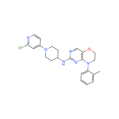 Cc1ccccc1N1CCOc2cnc(NC3CCN(c4ccnc(Cl)c4)CC3)nc21